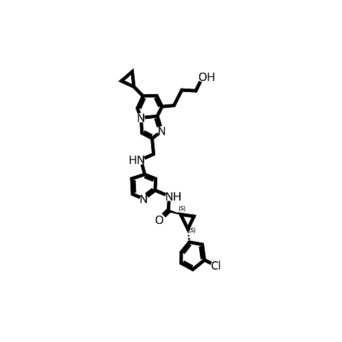 O=C(Nc1cc(NCc2cn3cc(C4CC4)cc(CCCO)c3n2)ccn1)[C@H]1C[C@@H]1c1cccc(Cl)c1